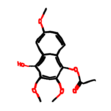 COc1ccc2c(OC(C)=O)c(OC)c(OC)c(O)c2c1